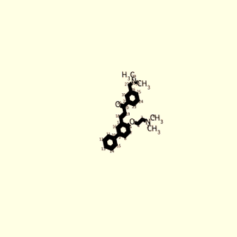 CN(C)CCOc1ccc(-c2ccccc2)cc1C=CC(=O)c1cccc(CN(C)C)c1